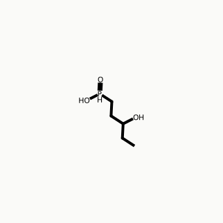 CCC(O)CC[PH](=O)O